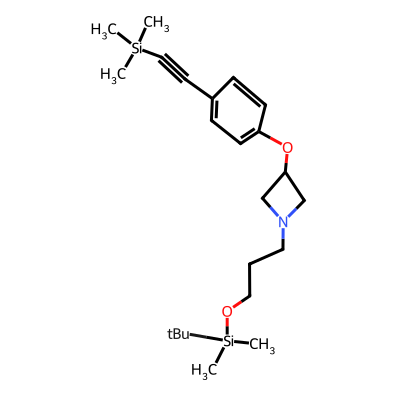 CC(C)(C)[Si](C)(C)OCCCN1CC(Oc2ccc(C#C[Si](C)(C)C)cc2)C1